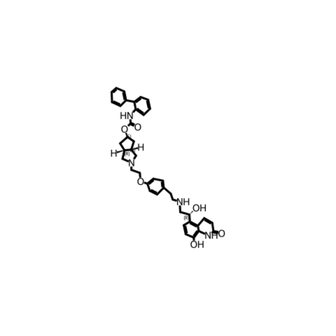 O=C(Nc1ccccc1-c1ccccc1)O[C@H]1C[C@@H]2CN(CCOc3ccc(CCNC[C@H](O)c4ccc(O)c5[nH]c(=O)ccc45)cc3)C[C@@H]2C1